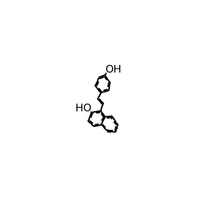 Oc1ccc(/C=C/c2c(O)ccc3ccccc23)cc1